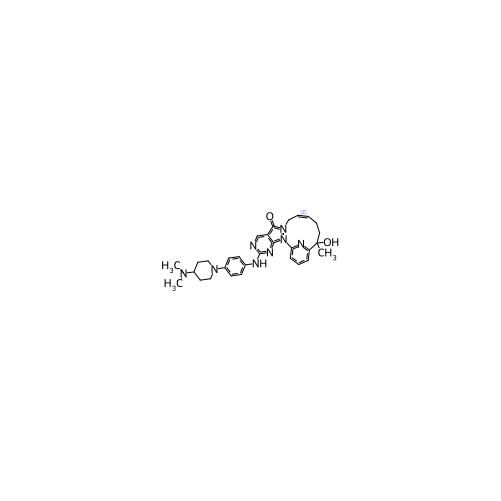 CN(C)C1CCN(c2ccc(Nc3ncc4c(=O)n5n(c4n3)-c3cccc(n3)C(C)(O)CC/C=C\C5)cc2)CC1